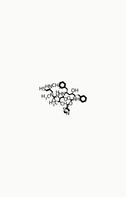 CN/C(=C\S)CN(C)C(=O)N[C@H](C(=O)N[C@@H](Cc1ccccc1)C[C@H](O)[C@H](Cc1ccccc1)NC(=O)OCc1cncs1)C(C)C